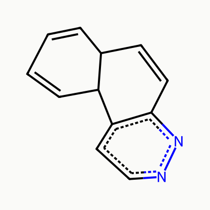 C1=CC2C=Cc3nnccc3C2C=C1